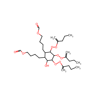 C=C(CCC)OOC1C(O)C(CCCCOC=O)C(CCCCOC=O)C(OOC(=C)CCC)C1OOC(=C)CCC